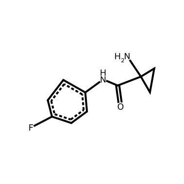 NC1(C(=O)Nc2ccc(F)cc2)CC1